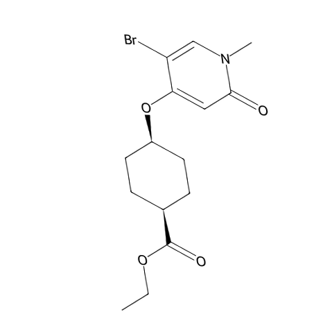 CCOC(=O)[C@H]1CC[C@@H](Oc2cc(=O)n(C)cc2Br)CC1